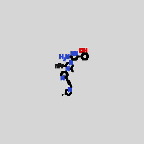 CCCC1CN(c2cc(-c3ccccc3O)nnc2N)CC(C)N1c1ccnc(C#CCN2CC[C@H](C)C2)c1